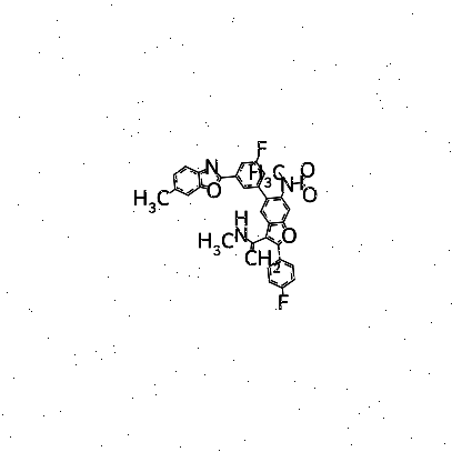 C=C(NC)c1c(-c2ccc(F)cc2)oc2cc(N(C)I(=O)=O)c(-c3cc(F)cc(-c4nc5ccc(C)cc5o4)c3)cc12